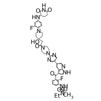 CCN(C)S(=O)(=O)Nc1cccc(C(=O)c2c[nH]c3ncc(-c4cnc(N5CCN(C(=O)CC6(O)CCN(c7ccc(NC8CCC(=O)NC8=O)cc7F)CC6)CC5)nc4)cc23)c1F